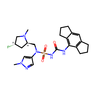 CN1C[C@@H](F)C[C@@H]1CN(c1cnn(C)c1)S(=O)(=O)NC(=O)Nc1c2c(cc3c1CCC3)CCC2